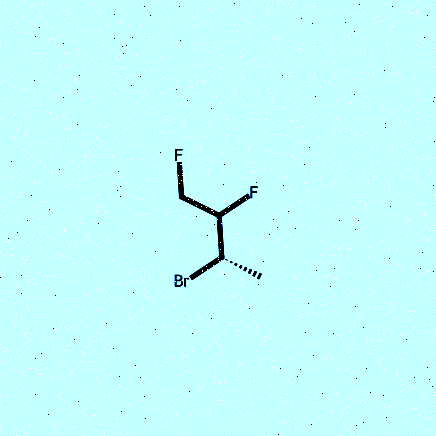 C[C@H](Br)C(F)CF